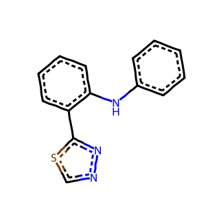 c1ccc(Nc2ccccc2-c2nncs2)cc1